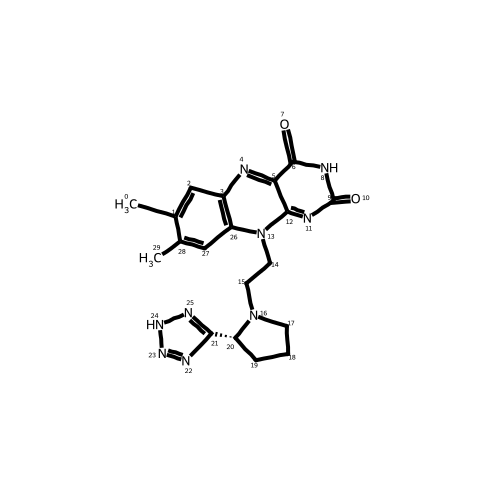 Cc1cc2nc3c(=O)[nH]c(=O)nc-3n(CCN3CCC[C@@H]3c3nn[nH]n3)c2cc1C